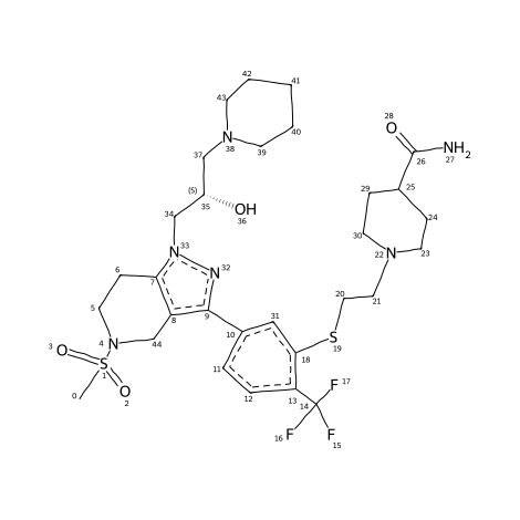 CS(=O)(=O)N1CCc2c(c(-c3ccc(C(F)(F)F)c(SCCN4CCC(C(N)=O)CC4)c3)nn2C[C@@H](O)CN2CCCCC2)C1